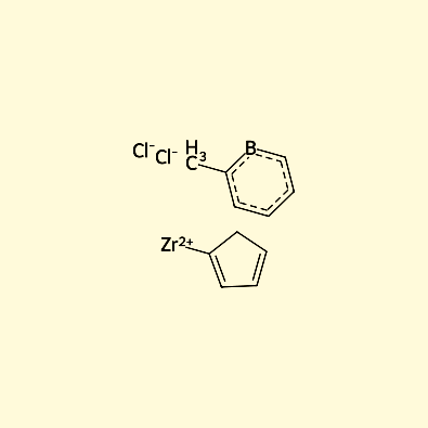 Cc1bcccc1.[Cl-].[Cl-].[Zr+2][C]1=CC=CC1